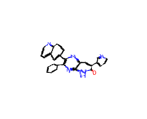 O=c1[nH]c2nc(-c3ccccc3)c(-c3ccc4ncccc4c3)nc2cc1-c1cccnc1